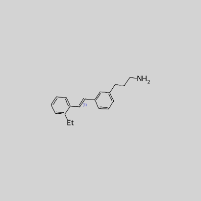 CCc1ccccc1/C=C/c1cccc(CCCN)c1